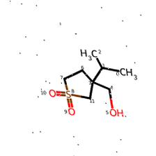 CC(C)C1(CO)CCS(=O)(=O)C1